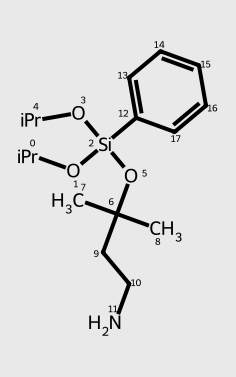 CC(C)O[Si](OC(C)C)(OC(C)(C)CCN)c1ccccc1